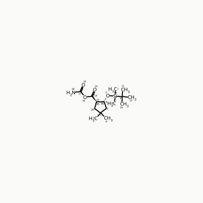 CC1(C)C[C@@H](O[Si](C)(C)C(C)(C)C)[C@H](C(=O)OC(N)=O)C1